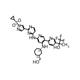 CC(O)(c1ccc(-c2cnc(Nc3ccnc(-c4cnn(S(=O)(=O)C5CC5)c4)n3)cc2N[C@H]2CCC[C@H](CO)C2)nc1)C(F)(F)F